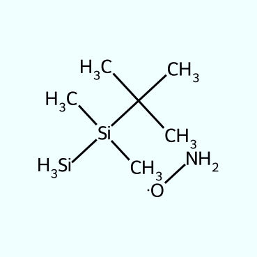 CC(C)(C)[Si](C)(C)[SiH3].N[O]